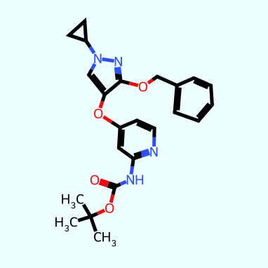 CC(C)(C)OC(=O)Nc1cc(Oc2cn(C3CC3)nc2OCc2ccccc2)ccn1